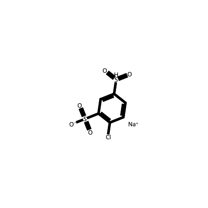 O=[SH](=O)c1ccc(Cl)c(S(=O)(=O)[O-])c1.[Na+]